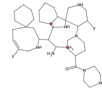 CN1CCN(C(=O)C2CCN(C3C(F)CNCC3(NC(=O)C(C(N)N)C3CC4(C/C=C(/F)CN3)CCCCC4)C3CCCCC3)CC2)CC1